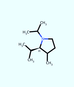 CC(C)[C@@H]1C(C)CCN1C(C)C